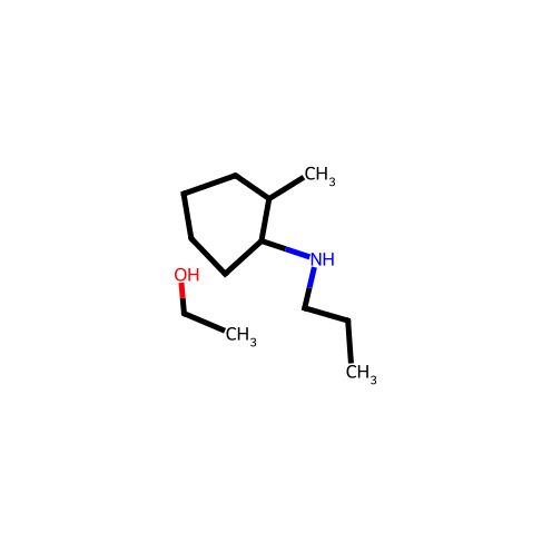 CCCNC1CCCCC1C.CCO